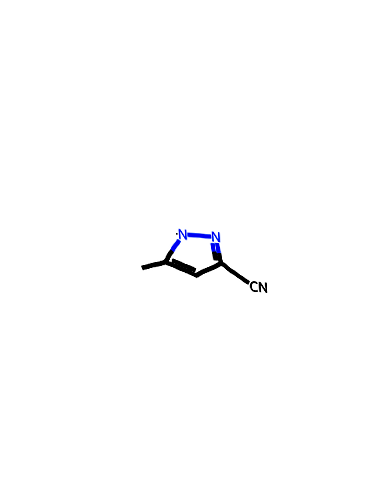 CC1=CC(C#N)=N[N]1